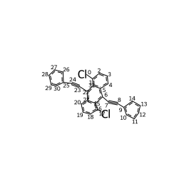 Clc1cccc2c(C#Cc3ccccc3)c3c(Cl)cccc3c(C#Cc3ccccc3)c12